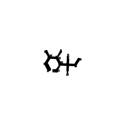 C=C[C@@H](C)[C@H](C)[C@@H](O)C(F)(I)CC